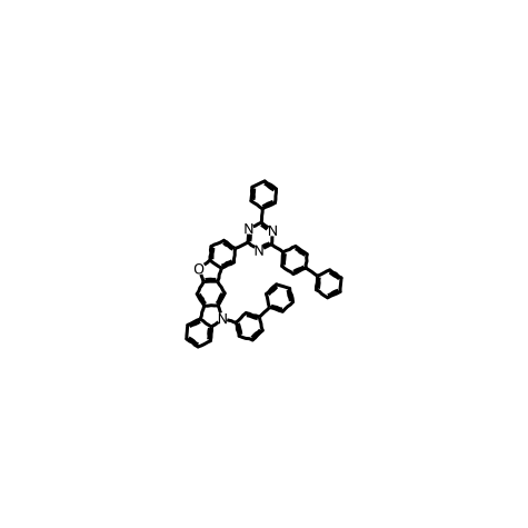 c1ccc(-c2ccc(-c3nc(-c4ccccc4)nc(-c4ccc5oc6cc7c8ccccc8n(-c8cccc(-c9ccccc9)c8)c7cc6c5c4)n3)cc2)cc1